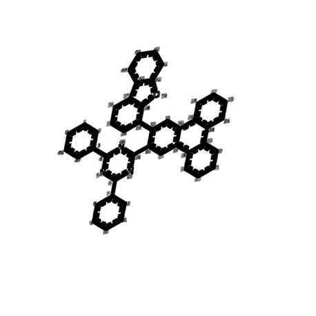 c1ccc(-c2nc(-c3ccccc3)nc(-c3cc4c5ccccc5c5ccccc5c4cc3-c3cccc4c3oc3ccccc34)n2)cc1